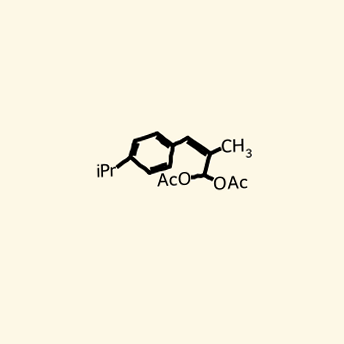 CC(=O)OC(OC(C)=O)C(C)=Cc1ccc(C(C)C)cc1